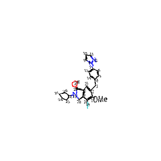 COc1c(Cc2ccc(-n3cccn3)cc2)cc2c(c1F)CN(C1CCCC1)C2=O